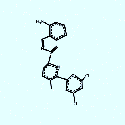 C=C(/N=C\c1ccccc1N)c1ccc(C)c(-c2cc(Cl)cc(Cl)c2)n1